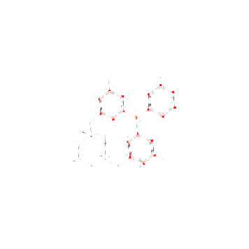 Clc1cc2c(c(P(c3ccccc3)c3ccccc3)c1)OC13Oc4c(cc(Cl)cc4P(c4ccccc4)c4ccccc4)C[C@H]1CCC[C@@H]3C2